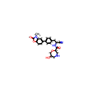 Cn1c(=O)oc2ccc(-c3ccc(CC(C#N)NC(=O)C4CNCC(O)CO4)cc3)cc21